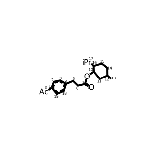 CC(=O)c1ccc(CCC(=O)OC2CC(C)CCC2C(C)C)cc1